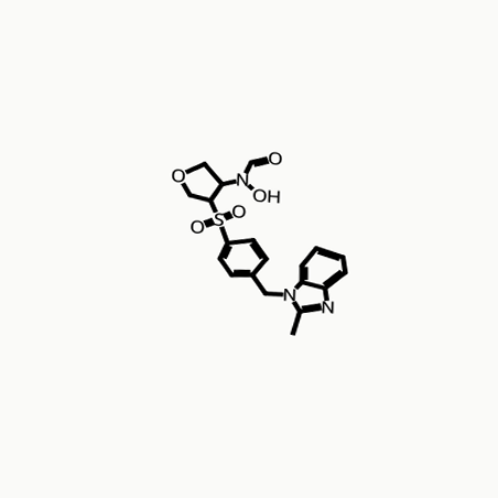 Cc1nc2ccccc2n1Cc1ccc(S(=O)(=O)C2COCC2N(O)C=O)cc1